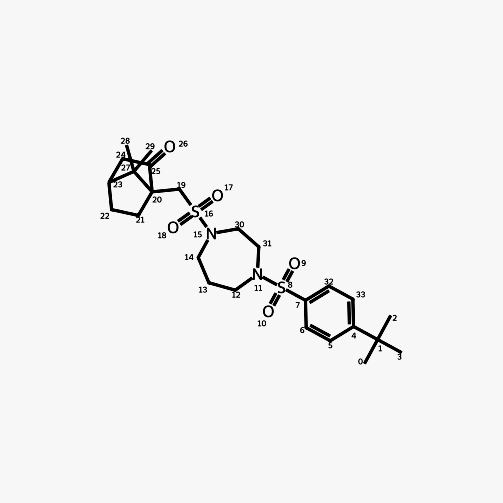 CC(C)(C)c1ccc(S(=O)(=O)N2CCCN(S(=O)(=O)CC34CCC(CC3=O)C4(C)C)CC2)cc1